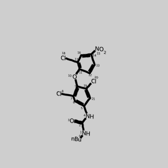 CCCCNC(=O)Nc1cc(Cl)c(Oc2ccc([N+](=O)[O-])cc2Cl)c(Cl)c1